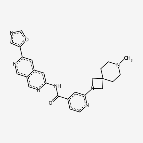 CN1CCC2(CC1)CN(c1cc(C(=O)Nc3cc4cc(-c5cnco5)ncc4cn3)ccn1)C2